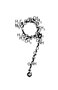 C/C=C(\C)[C@H]1OC(=O)[C@@H](C)NC(=O)[C@H](C(C)CC)NC(=O)CN(C)C(=O)[C@@H](Cc2ccc(OC(=O)NCCCOCCOCCOCCCNC(=O)CCSSc3ccccn3)cc2)N(C)C(=O)[C@H](C)NC(=O)[C@@H](CC(C)C)OC(=O)/C(C)=C/CC[C@@H]1C